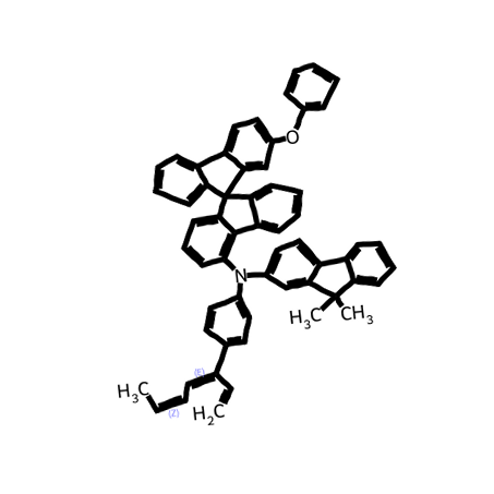 C=C/C(=C\C=C/C)c1ccc(N(c2ccc3c(c2)C(C)(C)c2ccccc2-3)c2cccc3c2-c2ccccc2C32c3ccccc3-c3ccc(Oc4ccccc4)cc32)cc1